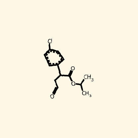 CC(C)OC(=O)C(CC=O)c1ccc(Cl)cc1